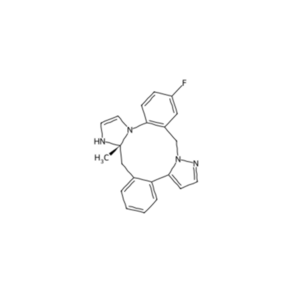 C[C@]12Cc3ccccc3-c3ccnn3Cc3cc(F)ccc3N1C=CN2